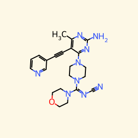 Cc1nc(N)nc(N2CCN(/C(=N\C#N)N3CCOCC3)CC2)c1C#Cc1cccnc1